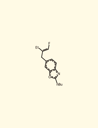 CCCCc1nc2ccc(CC(=CF)CC)cc2o1